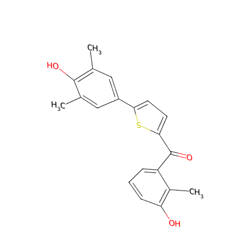 Cc1cc(-c2ccc(C(=O)c3cccc(O)c3C)s2)cc(C)c1O